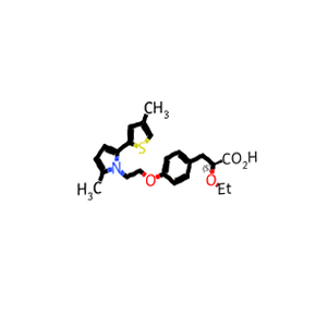 CCO[C@@H](Cc1ccc(OCCn2c(C)ccc2-c2cc(C)cs2)cc1)C(=O)O